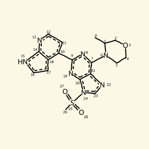 CC1COCCN1c1nc(-c2ccnc3[nH]ccc23)nc2c1ncn2S(C)(=O)=O